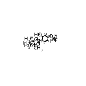 CC1(C)OB(c2ccc(OC(F)(F)F)cc2O)OC1(C)C